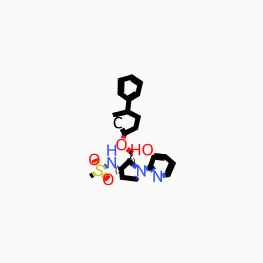 CS(=O)(=O)N[C@H]1CCN(c2ncccc2O)[C@H]1COC1CCC(c2ccccc2)CC1